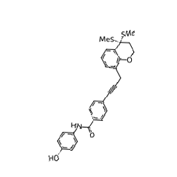 CSC1(SC)CCOc2c(CC#Cc3ccc(C(=O)Nc4ccc(O)cc4)cc3)cccc21